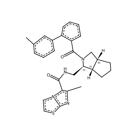 Cc1cccc(-c2ccccc2C(=O)N2C[C@@H]3CCC[C@@H]3[C@H]2CNC(=O)c2c(C)nc3sccn23)c1